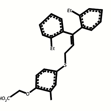 CCc1ccccc1C(=CCSc1ccc(OCC(=O)O)c(C)c1)c1ccccc1CC